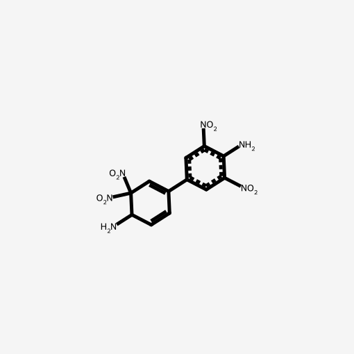 Nc1c([N+](=O)[O-])cc(C2=CC([N+](=O)[O-])([N+](=O)[O-])C(N)C=C2)cc1[N+](=O)[O-]